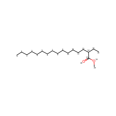 CCCCCCCCCCCCCCC(CC)C(=O)OC